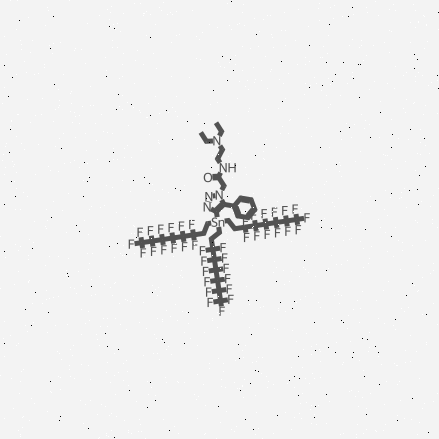 CCN(CC)CCNC(=O)Cn1nn[c]([Sn]([CH2]CC(F)(F)C(F)(F)C(F)(F)C(F)(F)C(F)(F)C(F)(F)F)([CH2]CC(F)(F)C(F)(F)C(F)(F)C(F)(F)C(F)(F)C(F)(F)F)[CH2]CC(F)(F)C(F)(F)C(F)(F)C(F)(F)C(F)(F)C(F)(F)F)c1-c1ccccc1